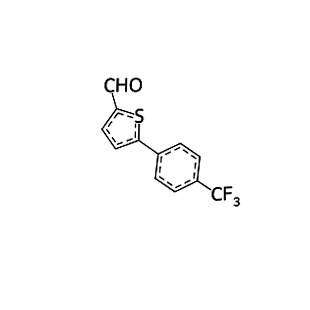 O=Cc1ccc(-c2ccc(C(F)(F)F)cc2)s1